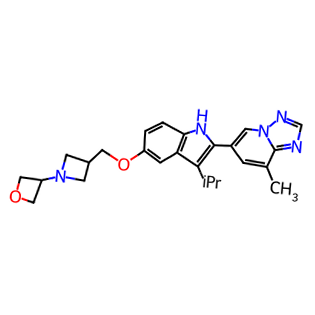 Cc1cc(-c2[nH]c3ccc(OCC4CN(C5COC5)C4)cc3c2C(C)C)cn2ncnc12